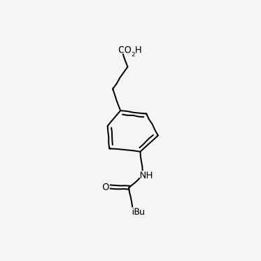 CCC(C)C(=O)Nc1ccc(CCC(=O)O)cc1